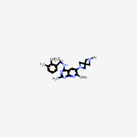 COc1nc2nc(C)nc(N[C@H](C)c3cccc(C(F)(F)F)c3C)c2cc1N1CC2(CN(C(C)=O)C2)C1